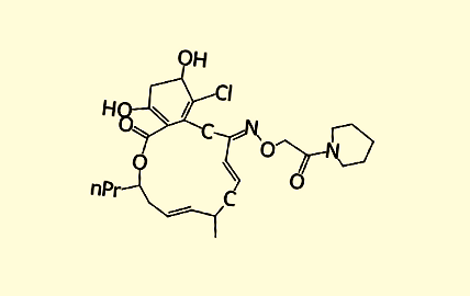 CCCC1C/C=C/C(C)C/C=C/C(=N\OCC(=O)N2CCCCC2)CC2=C(Cl)C(O)CC(O)=C2C(=O)O1